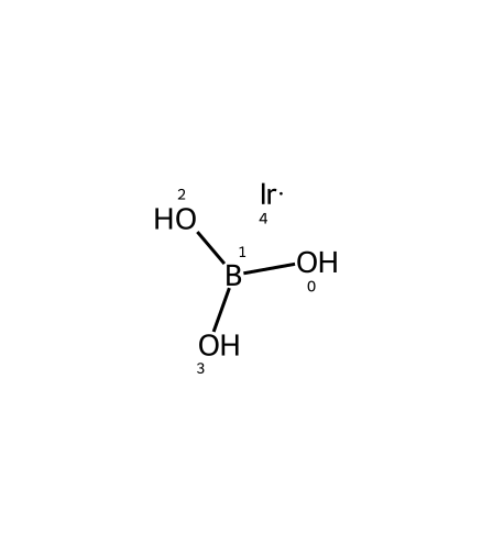 OB(O)O.[Ir]